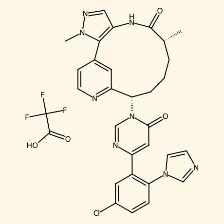 C[C@@H]1CCC[C@H](n2cnc(-c3cc(Cl)ccc3-n3ccnc3)cc2=O)c2cc(ccn2)-c2c(cnn2C)NC1=O.O=C(O)C(F)(F)F